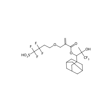 C=C(COCCC(F)(F)C(F)(F)S(=O)(=O)O)C(=O)OC(C12CC3CC(CC(C3)C1)C2)C(C)(O)C(F)(F)F